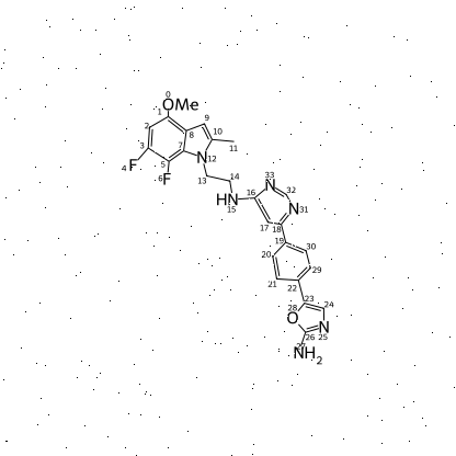 COc1cc(F)c(F)c2c1cc(C)n2CCNc1cc(-c2ccc(-c3cnc(N)o3)cc2)ncn1